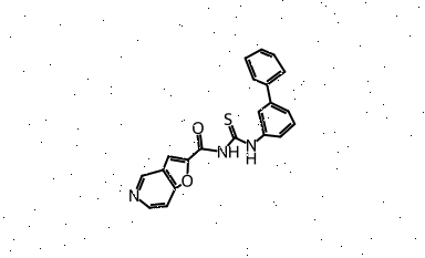 O=C(NC(=S)Nc1cccc(-c2ccccc2)c1)c1cc2cnccc2o1